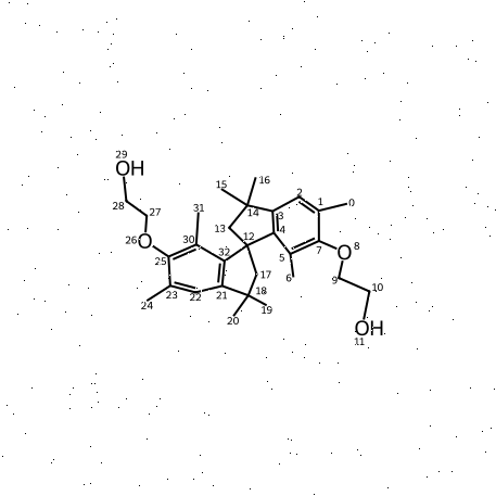 Cc1cc2c(c(C)c1OCCO)C1(CC2(C)C)CC(C)(C)c2cc(C)c(OCCO)c(C)c21